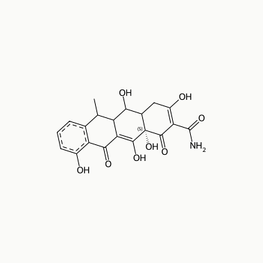 CC1c2cccc(O)c2C(=O)C2=C(O)[C@]3(O)C(=O)C(C(N)=O)=C(O)CC3C(O)C21